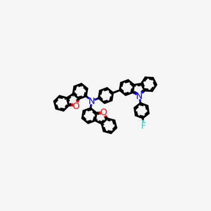 Fc1ccc(-n2c3ccccc3c3ccc(-c4ccc(N(c5cccc6c5oc5ccccc56)c5cccc6c5oc5ccccc56)cc4)cc32)cc1